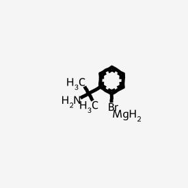 CC(C)(N)c1ccccc1Br.[MgH2]